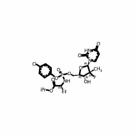 CC[C@H](NP(=O)(OC[C@H]1O[C@@H](n2ccc(=O)[nH]c2=O)[C@](C)(F)[C@@H]1O)Oc1ccc(Cl)cc1)C(=O)OC(C)C